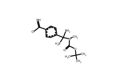 BC(B)(c1ccc(C(=N)Cl)cc1)N(C)C(=O)OC(C)(C)C